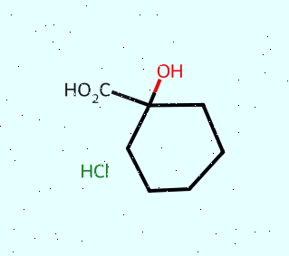 Cl.O=C(O)C1(O)CCCCC1